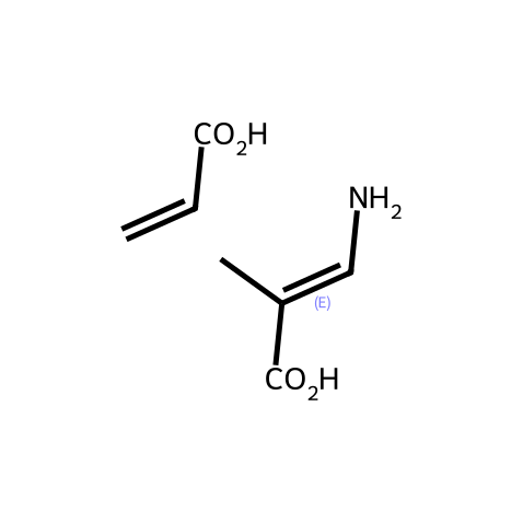 C/C(=C\N)C(=O)O.C=CC(=O)O